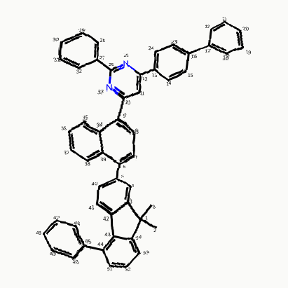 CC1(C)c2cc(-c3ccc(-c4cc(-c5ccc(-c6ccccc6)cc5)nc(-c5ccccc5)n4)c4ccccc34)ccc2-c2c(-c3ccccc3)cccc21